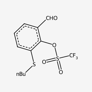 CCCCSc1cccc(C=O)c1OS(=O)(=O)C(F)(F)F